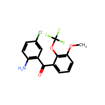 COc1cccc(C(=O)c2cc(Cl)ccc2N)c1OC(F)(F)F